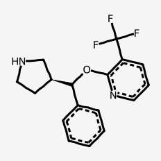 FC(F)(F)c1cccnc1OC(c1ccccc1)[C@H]1CCNC1